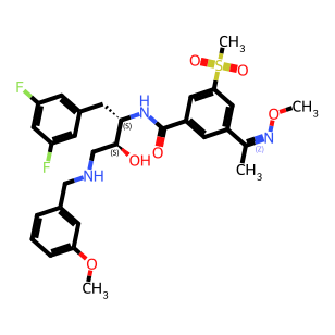 CO/N=C(/C)c1cc(C(=O)N[C@@H](Cc2cc(F)cc(F)c2)[C@@H](O)CNCc2cccc(OC)c2)cc(S(C)(=O)=O)c1